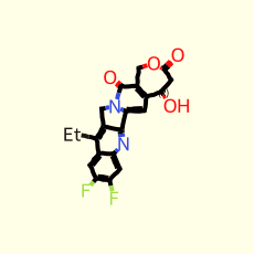 CCc1c2c(nc3cc(F)c(F)cc13)-c1cc3c(c(=O)n1C2)COC(=O)C[C@H]3O